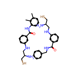 Cc1cccc(NC(=O)c2cccc(NCC(N)CS)c2)c1C.NC(CS)CNc1cccc(C(=O)NCc2ccccc2)c1